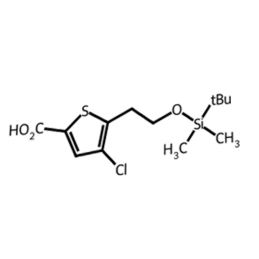 CC(C)(C)[Si](C)(C)OCCc1sc(C(=O)O)cc1Cl